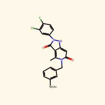 CC(=O)Nc1cccc(Cn2c(C)c3c(=O)n(-c4ccc(F)c(Cl)c4)[nH]c3cc2=O)c1